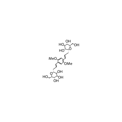 COc1cc(/C=C/C[C@H]2O[C@H](CO)[C@@H](O)[C@H](O)[C@@H]2O)c(OC)cc1/C=C/C[C@H]1O[C@H](CO)[C@@H](O)[C@H](O)[C@H]1O